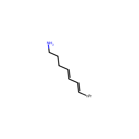 CCCC=CC=CCCCN